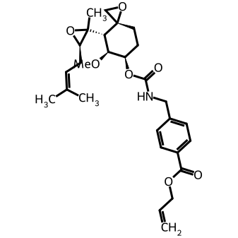 C=CCOC(=O)c1ccc(CNC(=O)O[C@@H]2CC[C@]3(CO3)[C@@H](C3(C)O[C@@H]3CC=C(C)C)[C@@H]2OC)cc1